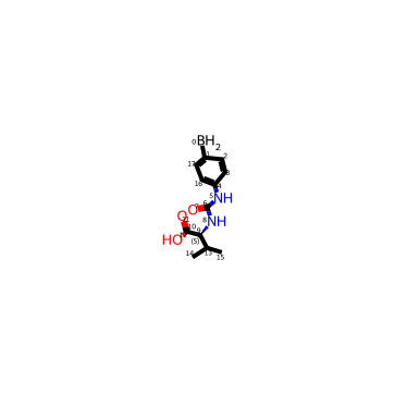 Bc1ccc(NC(=O)N[C@H](C(=O)O)C(C)C)cc1